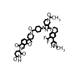 CC(=O)N1CCc2c(c(N3CCCc4cc(-c5cnn(C)c5)c(C(F)F)cc43)nn2C2CCC(C(=O)N3CCC4(CC3)COc3c4ccc4c3CN([C@H]3CCC(=O)NC3=O)C4=O)CC2)C1